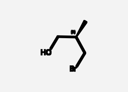 C[C@H](CO)CBr